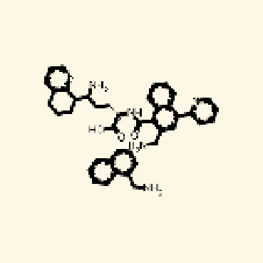 NCc1cc(-c2ccccn2)c2ccccc2c1C(=O)N[C@@H](CCC(N)C1CCCc2cccnc21)C(=O)O.NCc1cccc2ccccc12